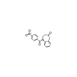 O=C1CCN(C(=O)c2ccc([N+](=O)[O-])cc2)c2ccccc2C1